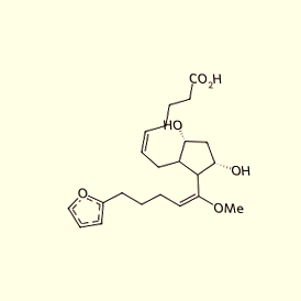 CO/C(=C/CCCc1ccco1)C1C(C/C=C\CCCC(=O)O)[C@H](O)C[C@@H]1O